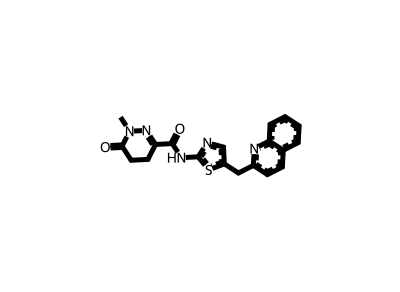 CN1N=C(C(=O)Nc2ncc(Cc3ccc4ccccc4n3)s2)CCC1=O